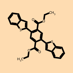 CCOC(=O)c1cc(-c2cc3ccccc3s2)c(C(=O)OCC)cc1-c1cc2ccccc2s1